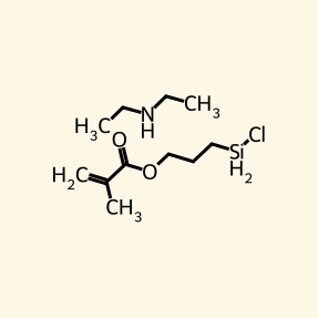 C=C(C)C(=O)OCCC[SiH2]Cl.CCNCC